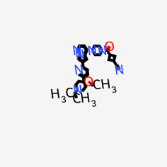 CCOC1(c2ccc(-c3cc4c(N5CCN(C(=O)C6CC(C#N)C6)CC5)ccnn4c3)nc2)CCN(C(C)C)CC1